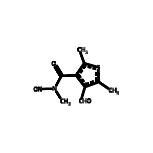 Cc1sc(C)c(C(=O)N(C)N=O)c1C=O